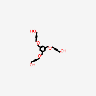 OCC#CCOCc1cc(COCC#CCO)cc(COCC#CCO)c1